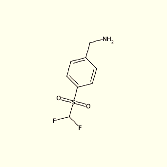 NCc1ccc(S(=O)(=O)C(F)F)cc1